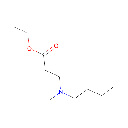 CCCCN(C)CCC(=O)OCC